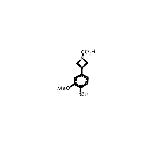 COc1cc(C2CN(C(=O)O)C2)ccc1C(C)(C)C